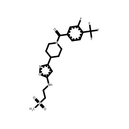 CS(=O)(=O)CCNc1cc(C2CCN(C(=O)c3ccc(C(F)(F)F)c(F)c3)CC2)no1